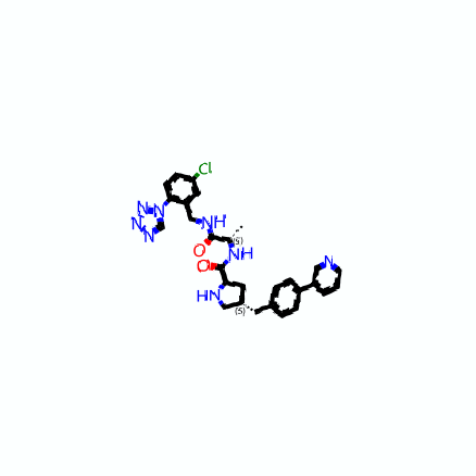 C[C@H](NC(=O)C1C[C@H](Cc2ccc(-c3cccnc3)cc2)CN1)C(=O)NCc1cc(Cl)ccc1-n1cnnn1